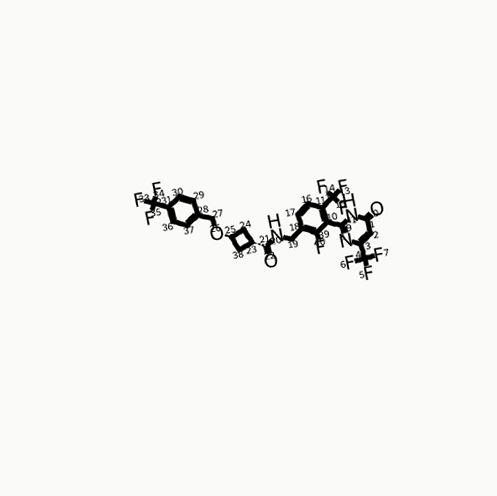 O=c1cc(C(F)(F)F)nc(-c2c(C(F)(F)F)ccc(CNC(=O)[C@H]3C[C@@H](OCc4ccc(C(F)(F)F)cc4)C3)c2F)[nH]1